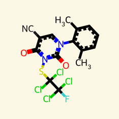 Cc1cccc(C)c1-n1cc(C#N)c(=O)n(SC(Cl)(Cl)C(F)(Cl)Cl)c1=O